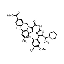 COC(=O)c1cccc(Cn2c(C(=O)Nc3nc(-c4cc(OC)c(C)cc4OC)c(C(C)C4CCCCC4)s3)cc3cc(C)cc(C)c32)c1